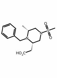 C[C@@H]1CN(S(C)(=O)=O)C[C@H](CC(=O)O)N1Cc1ccccc1